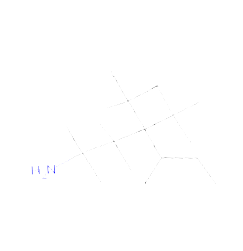 CCC(C)C1(C(C)(C)C(C)(C)N)C(C)(C)CC1(C)C